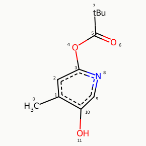 Cc1cc(OC(=O)C(C)(C)C)ncc1O